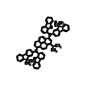 CC(C)c1cc(N(c2ccc3c(c2)C(C)(C)c2ccccc2-3)c2cccc3c2oc2ccccc23)c2ccc3ccc(N(c4ccc5c(c4)C(C)(C)c4ccccc4-5)c4cccc5c4oc4ccccc45)c4ccc1c2c34